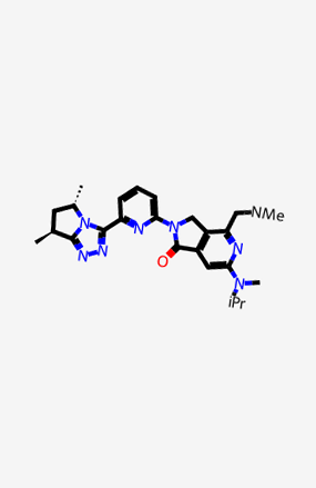 CNCc1nc(N(C)C(C)C)cc2c1CN(c1cccc(-c3nnc4n3[C@@H](C)C[C@@H]4C)n1)C2=O